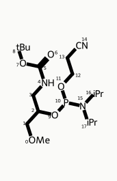 COCC(CNC(=O)OC(C)(C)C)OP(OCCC#N)N(C(C)C)C(C)C